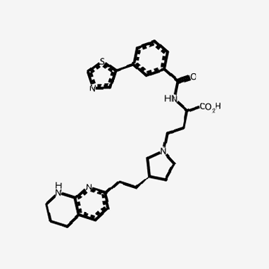 O=C(NC(CCN1CC[C@@H](CCc2ccc3c(n2)NCCC3)C1)C(=O)O)c1cccc(-c2cncs2)c1